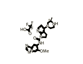 COc1cn2ncnc2cc1NC(=O)N1CCc2c(N3CCN[C@H](C)C3)ccnc21.O=C(O)C(F)(F)F